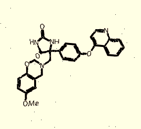 COc1ccc2c(c1)CN(CC1(c3ccc(Oc4ccnc5ccccc45)cc3)NC(=O)NC1=O)CO2